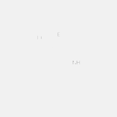 CCC1(CC)[CH]NCCCCC1